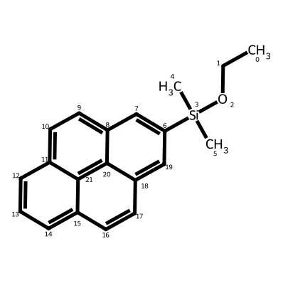 CCO[Si](C)(C)c1cc2ccc3cccc4ccc(c1)c2c34